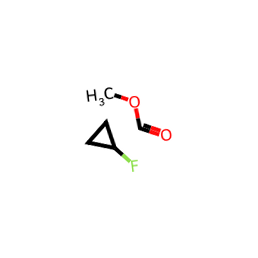 COC=O.FC1CC1